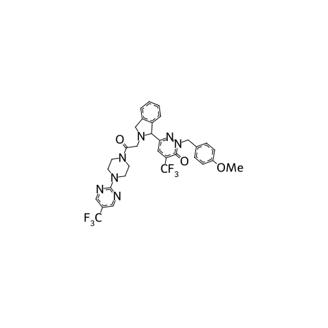 COc1ccc(Cn2nc(C3c4ccccc4CN3CC(=O)N3CCN(c4ncc(C(F)(F)F)cn4)CC3)cc(C(F)(F)F)c2=O)cc1